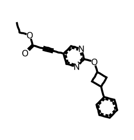 CCOC(=O)C#Cc1cnc(OC2CC(c3ccccc3)C2)nc1